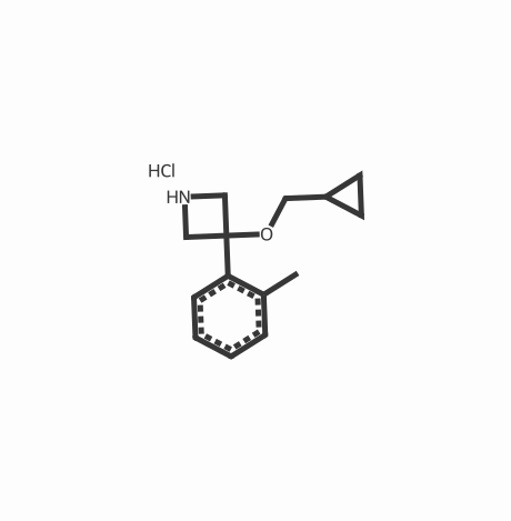 Cc1ccccc1C1(OCC2CC2)CNC1.Cl